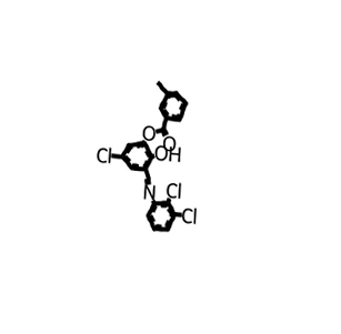 Cc1cccc(C(=O)Oc2cc(Cl)cc(C=Nc3cccc(Cl)c3Cl)c2O)c1